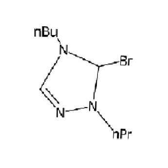 CCCCN1C=NN(CCC)C1Br